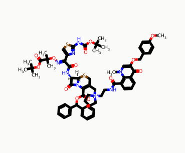 COc1ccc(COc2cn(C)c3c(C(=O)NCC[N+]4(CC5=C(C(=O)OC(c6ccccc6)c6ccccc6)N6C(=O)[C@@H](NC(=O)C(=NOC(C)(C)C(=O)OC(C)(C)C)c7csc(NC(=O)OC(C)(C)C)n7)[C@H]6SC5)CCCC4)cccc3c2=O)cc1